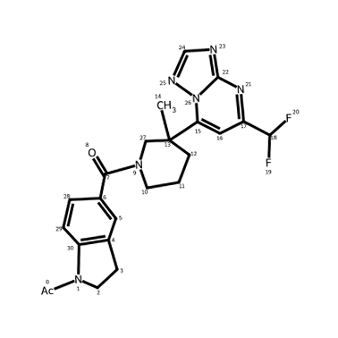 CC(=O)N1CCc2cc(C(=O)N3CCCC(C)(c4cc(C(F)F)nc5ncnn45)C3)ccc21